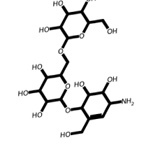 NC1C=C(CO)C(OC2OC(COC3OC(CO)C(O)C(O)C3O)C(O)C(O)C2O)C(O)C1O